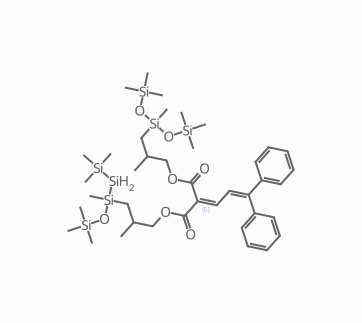 CC(COC(=O)/C(=C\C=C(c1ccccc1)c1ccccc1)C(=O)OCC(C)C[Si](C)(O[Si](C)(C)C)[SiH2][Si](C)(C)C)C[Si](C)(O[Si](C)(C)C)O[Si](C)(C)C